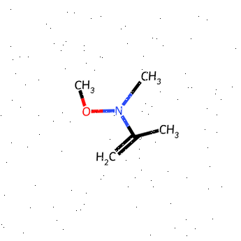 C=C(C)N(C)OC